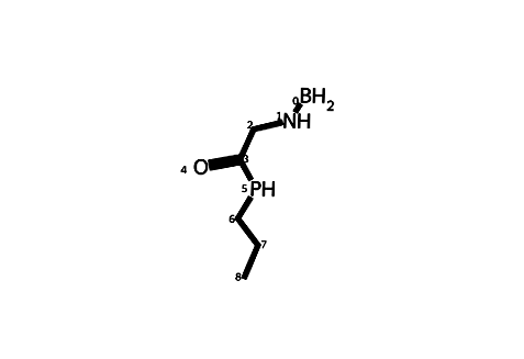 BNCC(=O)PCCC